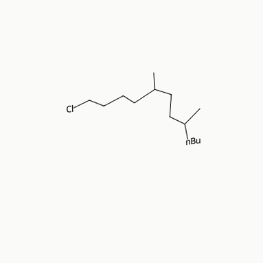 CCCCC(C)CCC(C)CCCCCl